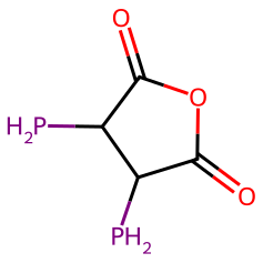 O=C1OC(=O)C(P)C1P